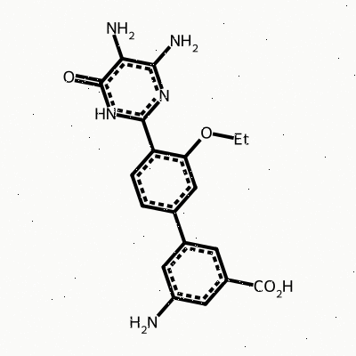 CCOc1cc(-c2cc(N)cc(C(=O)O)c2)ccc1-c1nc(N)c(N)c(=O)[nH]1